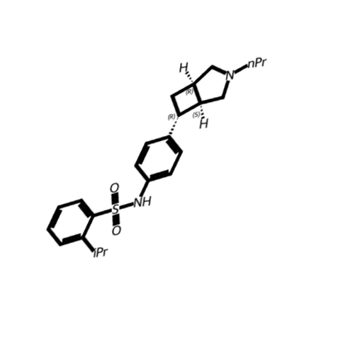 CCCN1C[C@@H]2C[C@@H](c3ccc(NS(=O)(=O)c4ccccc4C(C)C)cc3)[C@@H]2C1